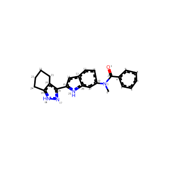 CN(C(=O)c1ccccc1)c1ccc2cc(-c3n[nH]c4c3CCCC4)[nH]c2c1